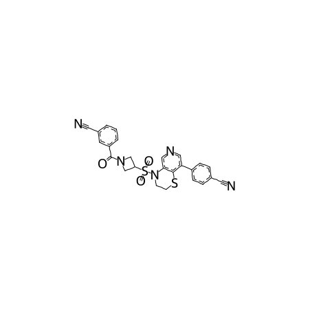 N#Cc1ccc(-c2cncc3c2SCCN3S(=O)(=O)C2CN(C(=O)c3cccc(C#N)c3)C2)cc1